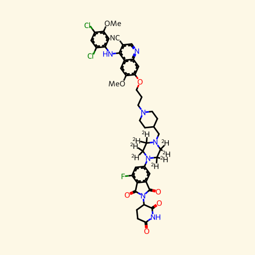 [2H]C1([2H])N(CC2CCN(CCCOc3cc4ncc(C#N)c(Nc5cc(OC)c(Cl)cc5Cl)c4cc3OC)CC2)C([2H])([2H])C([2H])([2H])N(c2cc(F)c3c(c2)C(=O)N(C2CCC(=O)NC2=O)C3=O)C1([2H])[2H]